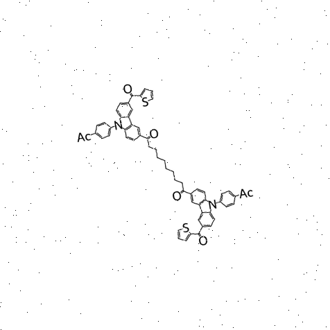 CC(=O)c1ccc(-n2c3ccc(C(=O)CCCCCCCCC(=O)c4ccc5c(c4)c4cc(C(=O)c6cccs6)ccc4n5-c4ccc(C(C)=O)cc4)cc3c3cc(C(=O)c4cccs4)ccc32)cc1